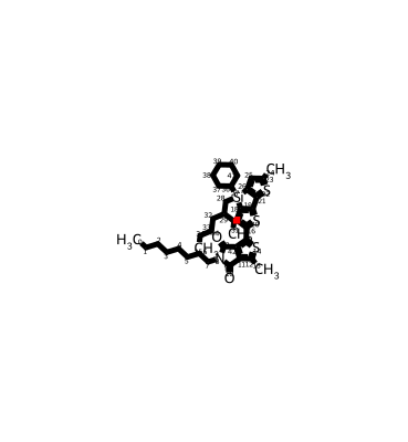 CCCCCCCCN1C(=O)c2c(C)sc(-c3cc4c(s3)-c3sc(C)cc3[Si]4(CC(CC)CCCC)C3CCCCC3)c2C1=O